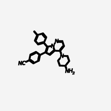 Cc1ccc(-c2c(-c3ccc(C#N)cc3)cc3c(N4CCC(N)CC4)ccnn23)cc1